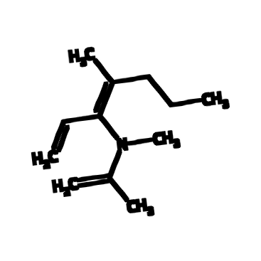 C=C/C(=C(\C)CCC)N(C)C(=C)C